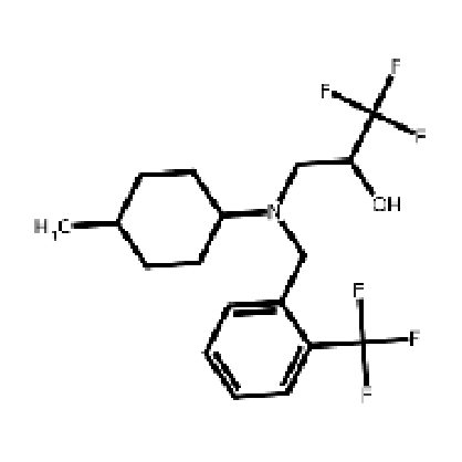 CC1CCC(N(Cc2ccccc2C(F)(F)F)CC(O)C(F)(F)F)CC1